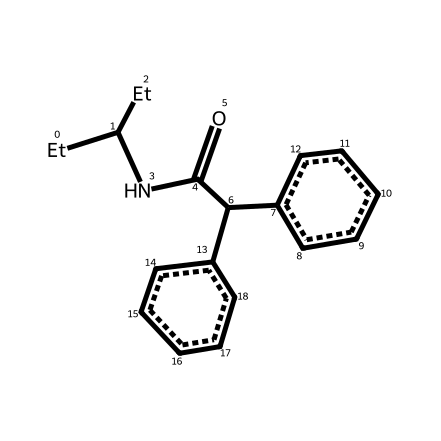 CCC(CC)NC(=O)C(c1ccccc1)c1ccccc1